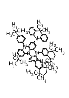 CC(C)(C)c1ccc(N2c3ccc(C(C)(C)C)cc3B3c4sc5cc6c(cc5c4N(c4ccc5c(c4)C(C)(C)CCC5(C)C)c4cc(N5c7ccccc7C(C)(C)c7ccccc75)cc2c43)C(C)(C)CCC6(C)C)cc1